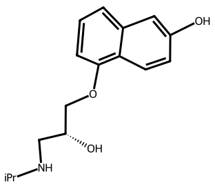 CC(C)NC[C@@H](O)COc1cccc2cc(O)ccc12